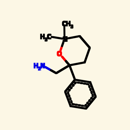 C[Si]1(C)CCCC(CN)(c2ccccc2)O1